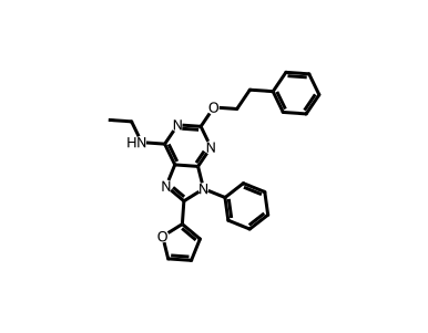 CCNc1nc(OCCc2ccccc2)nc2c1nc(-c1ccco1)n2-c1ccccc1